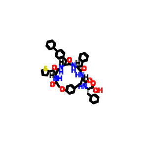 O=C1COc2ccc(cc2)C[C@@H](C(=O)N[C@@H](Cc2ccccc2)C(=O)O)NC(=O)[C@H](Cc2ccccc2)NC(=O)[C@H](Cc2ccc(-c3ccccc3)cc2)NC(=O)[C@H](CC2CC=CS2)N1